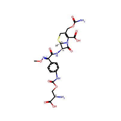 CO/N=C(/C(=O)N[C@@H]1C(=O)N2C(C(=O)O)=C(COC(N)=O)CS[C@H]12)c1ccc(NC(=O)OC[C@@H](N)C(=O)O)cc1